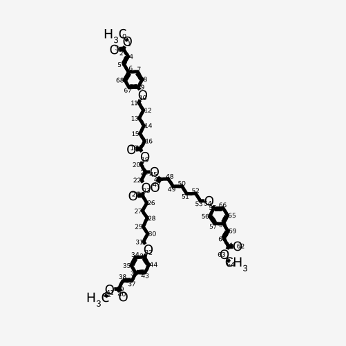 COC(=O)C=Cc1ccc(OCCCCCCC(=O)OCC(COC(=O)CCCCCCOc2ccc(C=CC(=O)OC)cc2)OC(=O)CCCCCCOc2ccc(C=CC(=O)OC)cc2)cc1